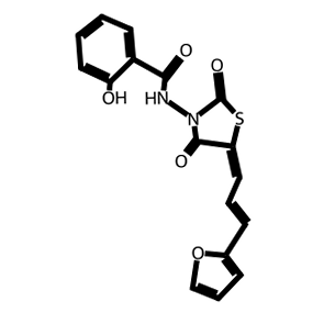 O=C(NN1C(=O)S/C(=C/C=C/c2ccco2)C1=O)c1ccccc1O